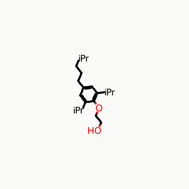 CC(C)CCCc1cc(C(C)C)c(OCCO)c(C(C)C)c1